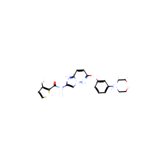 Cc1ccsc1C(=O)Nc1cn2nc(Oc3cccc(N4CCOCC4)c3)ccc2n1